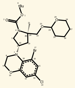 CC(C)(C)OC(=O)N1C[C@@H](N2CCOc3cc(Cl)cc(Br)c32)C[C@]1(C)COC1CCCCO1